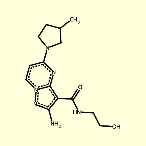 CC1CCN(c2ccn3nc(N)c(C(=O)NCCO)c3n2)C1